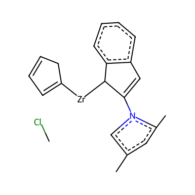 CCl.Cc1cc(C)n(C2=Cc3ccccc3[CH]2[Zr][C]2=CC=CC2)c1